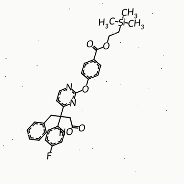 C[Si](C)(C)CCOC(=O)c1ccc(Oc2nccc(C(CC(=O)O)(Cc3ccccc3)c3ccc(F)cc3)n2)cc1